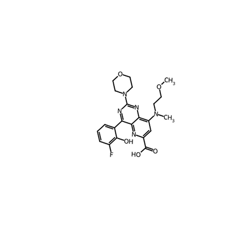 COCCN(C)c1cc(C(=O)O)nc2c(-c3cccc(F)c3O)nc(N3CCOCC3)nc12